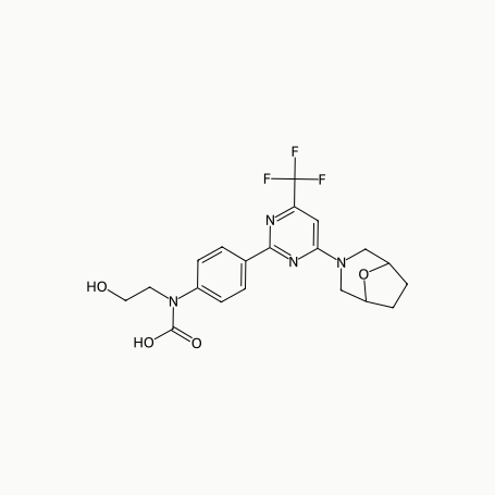 O=C(O)N(CCO)c1ccc(-c2nc(N3CC4CCC(C3)O4)cc(C(F)(F)F)n2)cc1